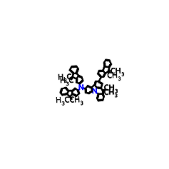 CC1(C)c2ccccc2-c2cc(N(c3ccc4c(c3)C(C)(C)c3ccccc3-4)c3ccc4c(c3)c3cc(-c5ccc6c(c5)C(C)(C)c5ccccc5-6)cc5c3n4-c3ccccc3C5(C)C)ccc21